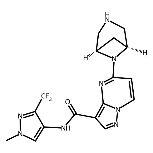 Cn1cc(NC(=O)c2cnn3ccc(N4[C@@H]5CNC[C@H]4C5)nc23)c(C(F)(F)F)n1